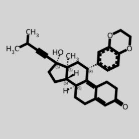 CC(C)C#C[C@]1(O)CC[C@H]2[C@@H]3CCC4=CC(=O)CCC4=C3[C@@H](c3ccc4c(c3)OCCO4)C[C@@]21C